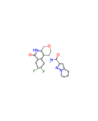 CN(C(=O)c1cc2ccccn2n1)[C@H]1COCc2[nH]c(=O)c3cc(F)c(F)cc3c21